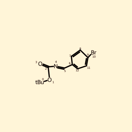 CC(C)(C)OC(=O)N=Cc1ccc(Br)cc1